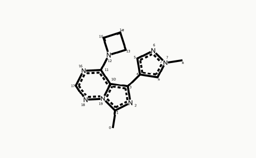 Cc1nc(-c2cnn(C)c2)c2c(N3CCC3)ncnn12